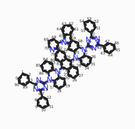 c1ccc(-c2nc(-c3ccccc3)nc(N3c4ccccc4N(c4c5ccccc5c(N5c6ccccc6N(c6nc(-c7ccccc7)nc(-c7ccccc7)n6)c6cc7c8ccccc8n(-c8cccnc8)c7cc65)c5ccccc45)c4ccccc43)n2)cc1